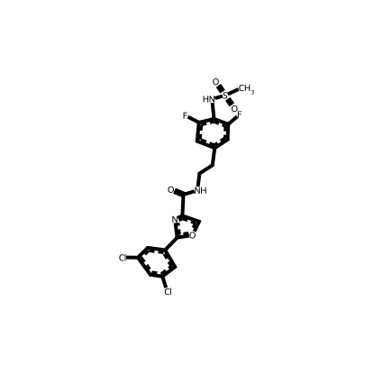 CS(=O)(=O)Nc1c(F)cc(CCNC(=O)c2coc(-c3cc(Cl)cc(Cl)c3)n2)cc1F